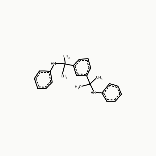 CC(C)(Nc1ccccc1)c1cccc(C(C)(C)Nc2ccccc2)c1